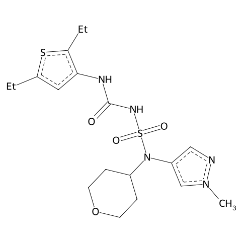 CCc1cc(NC(=O)NS(=O)(=O)N(c2cnn(C)c2)C2CCOCC2)c(CC)s1